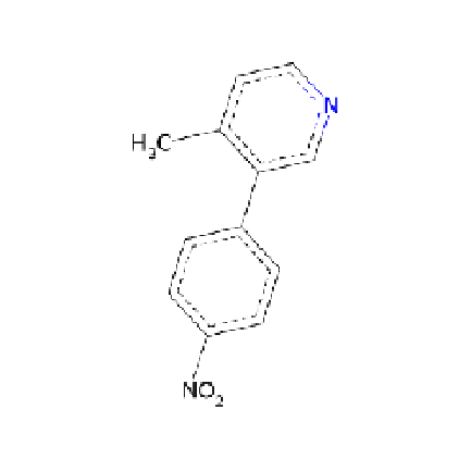 Cc1ccncc1-c1ccc([N+](=O)[O-])cc1